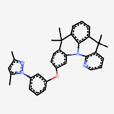 Cc1cc(C)n(-c2cccc(Oc3ccc4c(c3)N3c5ncccc5C(C)(C)c5cccc(c53)C4(C)C)c2)n1